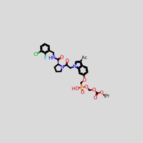 CC(=O)c1cn(CC(=O)N2CCC[C@H]2C(=O)NCc2cccc(Cl)c2F)c2cc(OCP(=O)(O)OCOC(=O)OC(C)C)ccc12